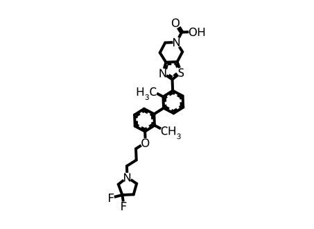 Cc1c(OCCCN2CCC(F)(F)C2)cccc1-c1cccc(-c2nc3c(s2)CN(C(=O)O)CC3)c1C